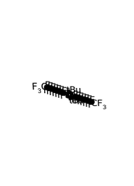 CC(C)(C)c1cc(C(F)(F)C(F)(F)C(F)(F)C(F)(F)C(F)(F)C(F)(F)C(F)(F)C(F)(F)F)c(C(C)(C)C)cc1C(F)(F)C(F)(F)C(F)(F)C(F)(F)C(F)(F)C(F)(F)C(F)(F)C(F)(F)F